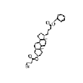 CC12CCC3C(CCC4CC(OC(=O)CCBr)CCC43C)C1CCC2CCCC(=O)OCc1ccccc1